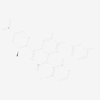 C=CC(=O)N1CCN(c2nc(=O)n(-c3c(CC)cccc3CC)c3nc(Oc4cccc(F)c4)c(Cl)cc23)[C@@H](C)C1